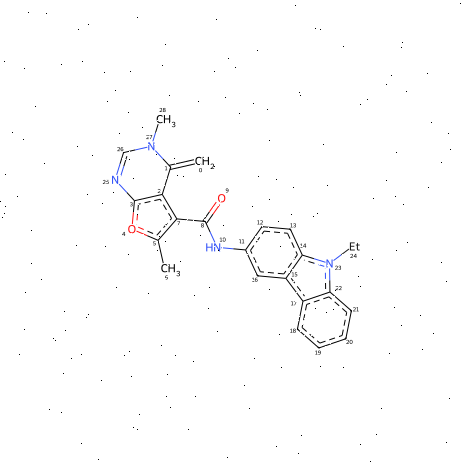 C=C1c2c(oc(C)c2C(=O)Nc2ccc3c(c2)c2ccccc2n3CC)N=CN1C